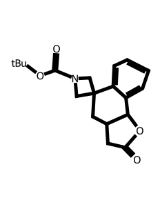 CC(C)(C)OC(=O)N1CC2(CC3CC(=O)OC3c3ccccc32)C1